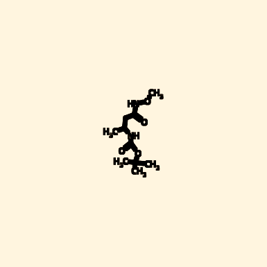 CONC(=O)CC(C)NC(=O)OC(C)(C)C